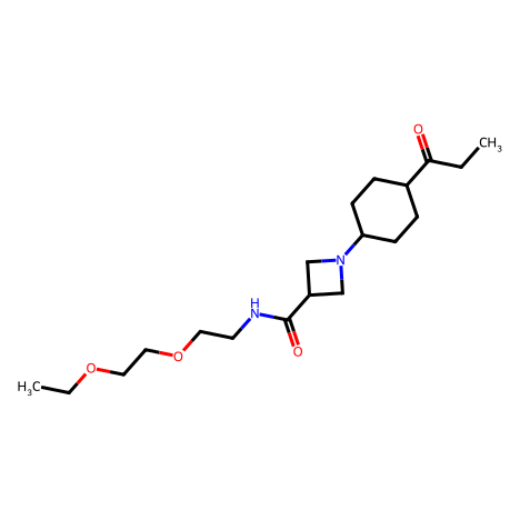 CCOCCOCCNC(=O)C1CN(C2CCC(C(=O)CC)CC2)C1